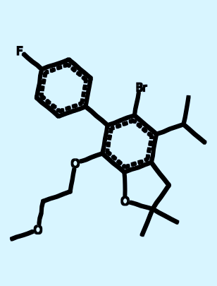 COCCOc1c2c(c(C(C)C)c(Br)c1-c1ccc(F)cc1)CC(C)(C)O2